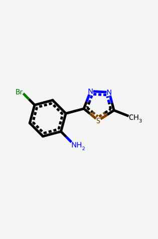 Cc1nnc(-c2cc(Br)ccc2N)s1